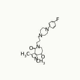 Cc1cn(C)c2c1C(=O)N(CCCN1CCN(c3ccc(F)cc3)CC1)CCC2=O